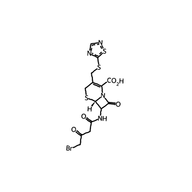 O=C(CBr)CC(=O)NC1C(=O)N2C(C(=O)O)=C(CSc3ncns3)CS[C@@H]12